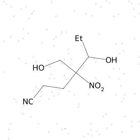 CCC(O)C(CO)(CCC#N)[N+](=O)[O-]